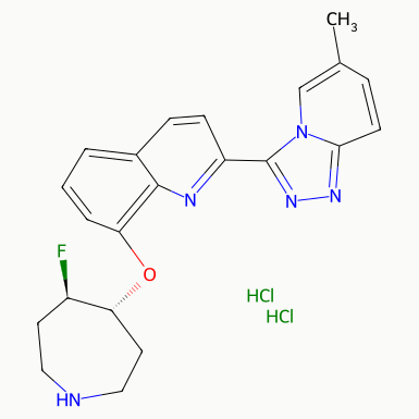 Cc1ccc2nnc(-c3ccc4cccc(O[C@@H]5CCNCC[C@H]5F)c4n3)n2c1.Cl.Cl